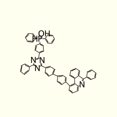 O[PH](c1ccccc1)(c1ccccc1)c1ccc(-c2nc(-c3ccccc3)nc(-c3ccc(-c4ccc(-c5cccc6nc(-c7ccccc7)c7ccccc7c56)cc4)cc3)n2)cc1